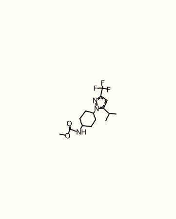 COC(=O)NC1CCC(n2nc(C(F)(F)F)cc2C(C)C)CC1